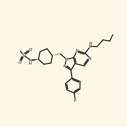 CCCCNc1ncc2c(-c3ccc(F)cc3)nn(C[C@H]3CC[C@H](NS(C)(=O)=O)CC3)c2n1